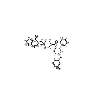 O=C([C@@H]1CCN(Cc2cccc(F)c2)C[C@H]1c1ccccc1)N1CCC(O)(Cn2cnc3[nH]ccc3c2=O)CC1